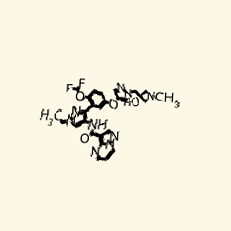 CCn1cc(NC(=O)c2cnn3cccnc23)c(-c2cc(Oc3cnn(CC4(O)CN(C)C4)c3)ccc2OC(F)F)n1